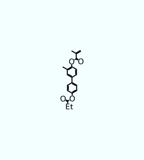 C=C(C)C(=O)Oc1ccc(-c2ccc(OC(=O)CC)cc2)cc1C